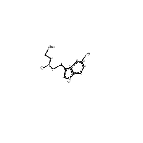 CCCCCCCCCCCCN(CCc1c[nH]c2ccc(O)cc12)C(C)=O